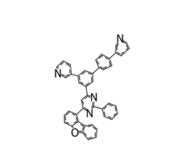 c1ccc(-c2nc(-c3cc(-c4ccc(-c5cccnc5)cc4)cc(-c4cccnc4)c3)cc(-c3cccc4oc5ccccc5c34)n2)cc1